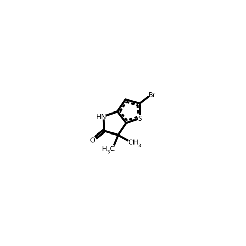 CC1(C)C(=O)Nc2cc(Br)sc21